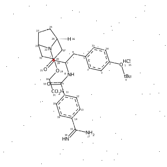 CC(C)(C)Oc1ccc(CC(NC(=O)c2ccc(C(=N)N)cc2)C(=O)N2C3CC[C@H]2CC(OCC(=O)O)C3)cc1.Cl